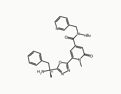 CCCCN(Cc1cccnc1)C(=O)c1cc(-c2nnc([C@](C)(N)Cc3ccccc3)o2)n(C)c(=O)c1